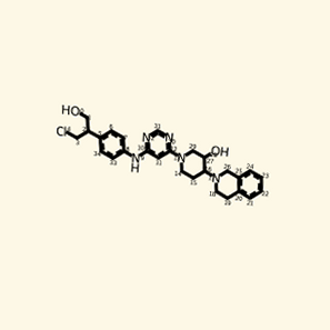 OCC(CCl)c1ccc(Nc2cc(N3CCC(N4CCc5ccccc5C4)C(O)C3)ncn2)cc1